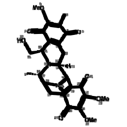 COC1=C(C)C(=O)C2=C(C1=O)[C@H](CO)N1[C@@H](C)C3CC4=C(C(=O)C(OC)=C(OC)C4=O)C([C@@H]1C2)N3C